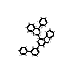 c1ccc(-c2cccc(-c3cc(-c4nc(-c5ccccc5)c5ccccc5n4)c4c(c3)oc3ccccc34)c2)cc1